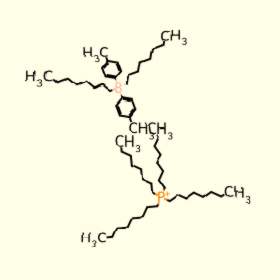 CCCCCCCC[B-](CCCCCCCC)(c1ccc(C)cc1)c1ccc(C)cc1.CCCCCCCC[P+](CCCCCCCC)(CCCCCCCC)CCCCCCCC